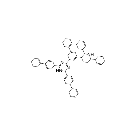 C1=CCC(C2C=CC(C3N=C(C4C=C(C5CCC(C6C=CCCC6)NC5C5C=CCCC5)C=C(C5=CCCCC5)C4)N=C(C4C=CC(C5=CCCCC5)=CC4)N3)=CC2)C=C1